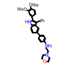 COc1ccc(-c2[nH]c3ccc(-c4ccc(NCCN5CCOCC5)cc4)cc3c2C(C)C)cc1OC